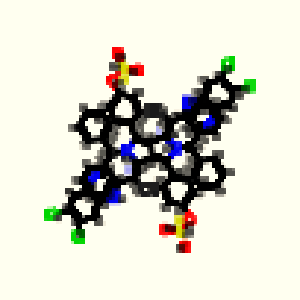 N#C/C(c1cnc2cc(Cl)c(Cl)cc2n1)=c1\c2c(-c3ccc(O[SH](=O)=O)cc3)n(B(c3ccccc3)c3ccccc3)/c(=C(/C#N)c3cnc4cc(Cl)c(Cl)cc4n3)c2c(-c2ccc(O[SH](=O)=O)cc2)n1B(c1ccccc1)c1ccccc1